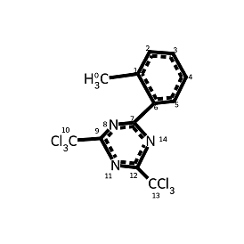 Cc1ccccc1-c1nc(C(Cl)(Cl)Cl)nc(C(Cl)(Cl)Cl)n1